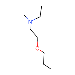 CCCOCCN(C)CC